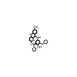 COc1ccc2nc3cc(C)ccc3c(Nc3cc(CN4CCCC4)c(O)c(CN4CCCC4)c3)c2n1